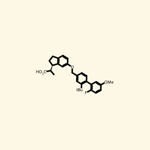 COc1ccc(F)c(-c2ccc(COc3ccc4c(c3)[C@@H](C(C)C(=O)O)CC4)cc2C(C)(C)C)c1